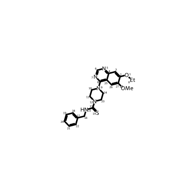 CCOc1cc2ncnc(N3CCN(C(=S)NCc4ccccc4)CC3)c2cc1OC